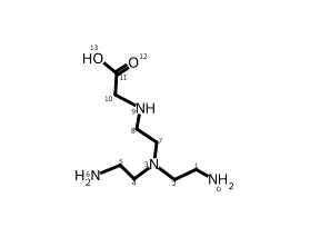 NCCN(CCN)CCNCC(=O)O